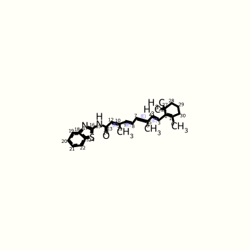 CC1=C(/C=C/C(C)=C/C=C/C(C)=C/C(=O)Nc2nc3ccccc3s2)C(C)(C)CCC1